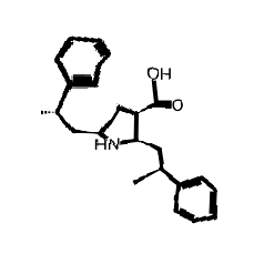 C[C@@H](C[C@H]1C[C@@H](C(=O)O)[C@@H](C[C@H](C)c2ccccc2)N1)c1ccccc1